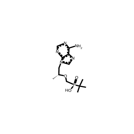 C[C@H](Cn1cnc2c(N)ncnc21)OCP(=O)(O)C(C)(C)C